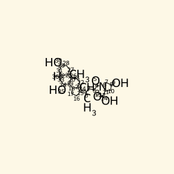 C[C@H](CCC(=O)N1C[C@H](O)C[C@H]1C(=O)O)[C@H]1CCC2C3C(CC[C@@]21C)[C@@]1(C)CC[C@@H](O)C[C@H]1C[C@@H]3O